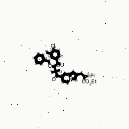 CCCC(Cc1cc2cc(C(=O)C(C)(C)C(OCc3ccccc3)C(=O)c3ccc(Cl)c(C)c3)ccn2c1)C(=O)OCC